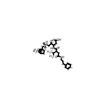 CC(C)C(CC(=O)NCCCc1ccccc1)C(=O)NC(CC(=O)O)C(=O)CNS(=O)(=O)CC12CCC(CC1)C2(C)C